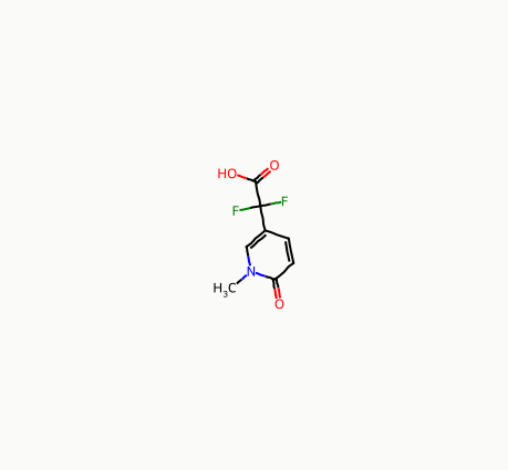 Cn1cc(C(F)(F)C(=O)O)ccc1=O